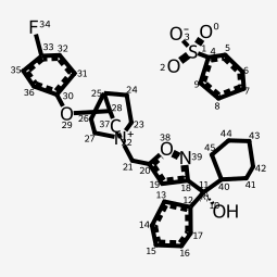 O=S(=O)([O-])c1ccccc1.O[C@](c1ccccc1)(c1cc(C[N+]23CCC(CC2)C(Oc2ccc(F)cc2)C3)on1)C1CCCCC1